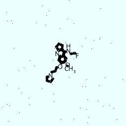 COc1cc2c(NCCF)c3c(nc2cc1OCCCN1CCCC1)CCC3